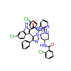 CC(c1ccc(Cl)cc1)n1cnc(-c2ccccc2)c1-c1c(C(=O)Nc2cccnc2N2CCC(NC(=O)c3ccccc3Cl)CC2)[nH]c2cc(Cl)ccc12